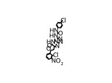 O=C(Nc1ccc(Cl)cc1)Nc1nnc2nc(CC(=O)c3cccc([N+](=O)[O-])c3Cl)c(=O)[nH]n12